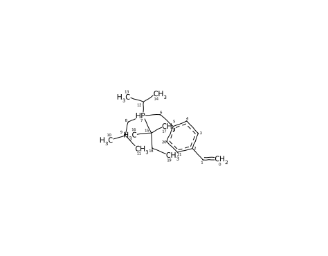 C=Cc1ccc(C[PH](CC(C)C)(C(C)C)C(C)(C)CC)cc1